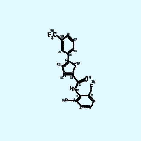 O=C(Nc1c(F)cccc1F)c1ncc(-c2cccc(C(F)(F)F)c2)s1